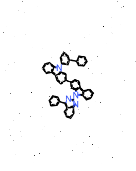 c1ccc(-c2cccc(-n3c4ccccc4c4ccc(-c5ccc6c7ccccc7n(-c7nc(-c8ccccc8)c8ccccc8n7)c6c5)cc43)c2)cc1